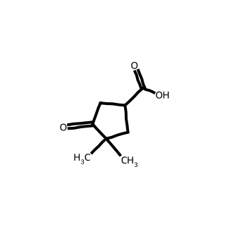 CC1(C)CC(C(=O)O)CC1=O